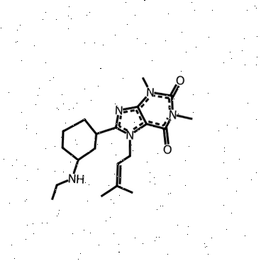 CCNC1CCCC(c2nc3c(c(=O)n(C)c(=O)n3C)n2CC=C(C)C)C1